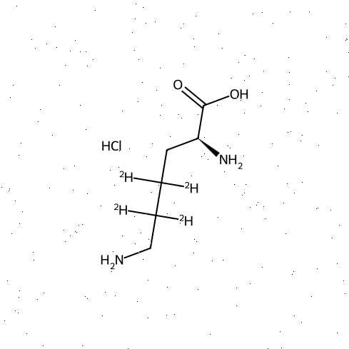 Cl.[2H]C([2H])(CN)C([2H])([2H])C[C@H](N)C(=O)O